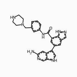 Nc1cc2c(-c3cc(C(=O)Nc4cccc(CN5CCNCC5)c4)c4[nH]ncc4c3)c[nH]c2cn1